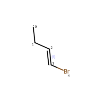 [CH2]C/C=[C]/Br